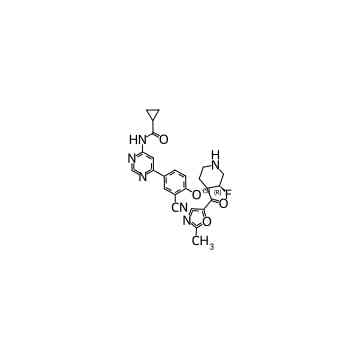 Cc1ncc(C(=O)[C@@]2(Oc3ccc(-c4cc(NC(=O)C5CC5)ncn4)cc3C#N)CCNC[C@H]2F)o1